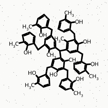 Cc1cccc(Cc2cc(Cc3cccc(C)c3O)c(C)c(C(c3cc(Cc4cccc(C)c4O)c(O)c(Cc4cccc(C)c4O)c3C)c3cc(Cc4cccc(C)c4O)c(O)c(Cc4cccc(C)c4O)c3C)c2)c1O